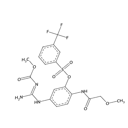 COCC(=O)Nc1ccc(NC(N)=NC(=O)OC)cc1OS(=O)(=O)c1cccc(C(F)(F)F)c1